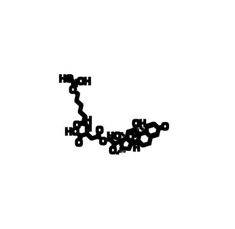 C[C@H]1CC2[C@@H]3CCC4=CC(=O)C=C[C@]4(C)C3(Cl)[C@@H](O)C[C@]2(C)[C@@]1(O)C(=O)COC(=O)CC(NC(=O)CCCCCON(O)O)C(=O)O